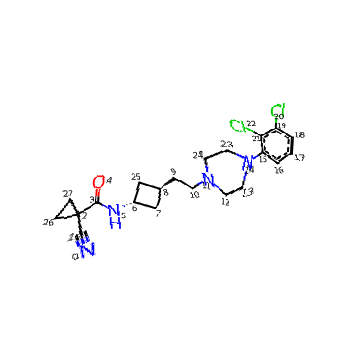 N#CC1(C(=O)N[C@H]2C[C@H](CCN3CCN(c4cccc(Cl)c4Cl)CC3)C2)CC1